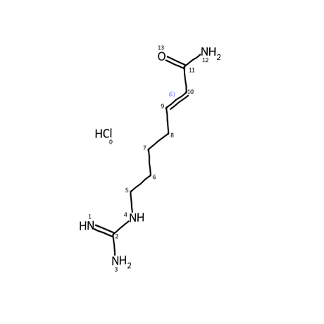 Cl.N=C(N)NCCCC/C=C/C(N)=O